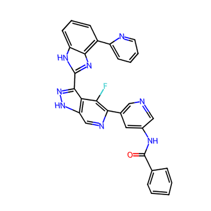 O=C(Nc1cncc(-c2ncc3[nH]nc(-c4nc5c(-c6ccccn6)cccc5[nH]4)c3c2F)c1)c1ccccc1